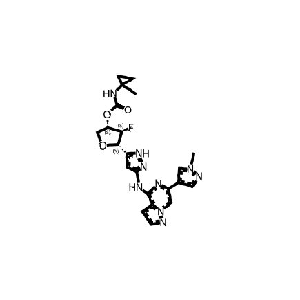 Cn1cc(-c2cn3nccc3c(Nc3cc([C@@H]4OC[C@H](OC(=O)NC5(C)CC5)[C@H]4F)[nH]n3)n2)cn1